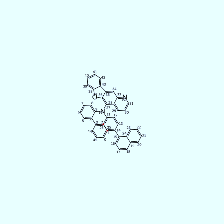 c1ccc(-c2ccccc2N(c2ccc(-c3cccc4ccccc34)cc2)c2c3cccnc3cc3c2oc2ccccc23)cc1